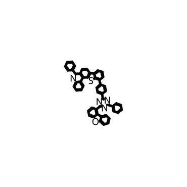 c1ccc(-c2nc(-c3ccc(-c4cccc5c4sc4c5ccc5c(-c6ccccc6)nc6ccccc6c54)cc3)nc(-c3cccc4oc5ccccc5c34)n2)cc1